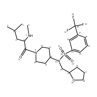 CNC(CC(C)C)C(=O)N1CCC(N(CC2CCCO2)S(=O)(=O)c2cccc(C(F)(F)F)c2)CC1